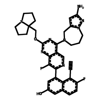 C#Cc1c(F)ccc2cc(O)cc(-c3ncc4c(N5CCCn6nc(N)cc6C5)nc(OCC56CCCN5CCC6)nc4c3F)c12